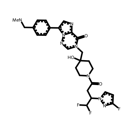 CNCc1ccc(-c2cnc3c(=O)n(CC4(O)CCN(C(=O)CC(C(F)F)n5ccc(F)n5)CC4)cnn23)cc1